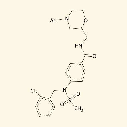 CC(=O)N1CCOC(CNC(=O)c2ccc(N(Cc3ccccc3Cl)S(C)(=O)=O)cc2)C1